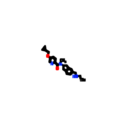 CN(C(=O)c1ccc(OCC2CC2)cn1)[C@@H]1Cc2ccc(CNCC(C)(C)C)cc2C1